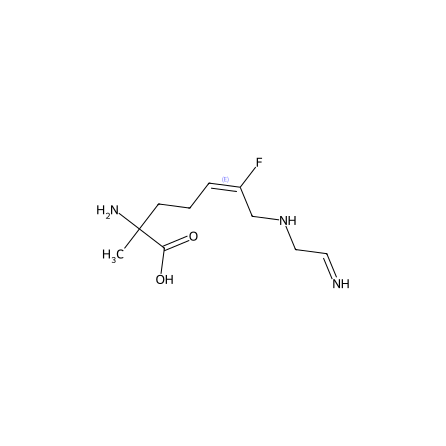 CC(N)(CC/C=C(/F)CNCC=N)C(=O)O